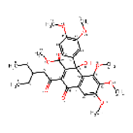 CCC(CC)CC(=O)C1=C(C(=O)OC)C(O)(c2ccc(OC)c(OC)c2)c2c(cc(OC)c(OC)c2OC)C1=O